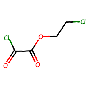 O=C(Cl)C(=O)OCCCl